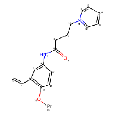 C=Cc1cc(NC(=O)CCC[n+]2ccccc2)ccc1OC(C)C